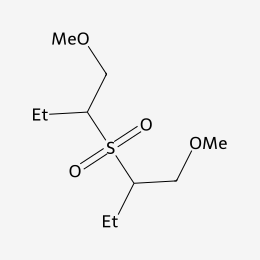 CCC(COC)S(=O)(=O)C(CC)COC